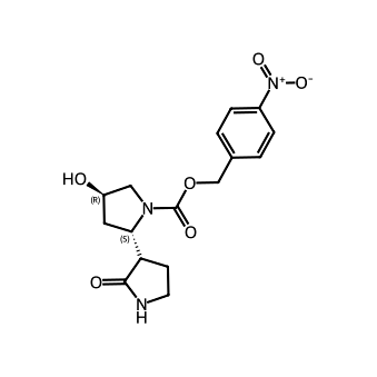 O=C1NCCC1[C@@H]1C[C@@H](O)CN1C(=O)OCc1ccc([N+](=O)[O-])cc1